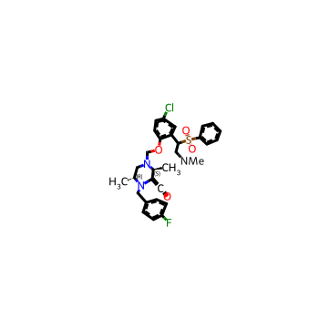 CNCC(c1cc(Cl)ccc1OCN1C[C@@H](C)N(Cc2ccc(F)cc2)C(=C=O)[C@@H]1C)S(=O)(=O)c1ccccc1